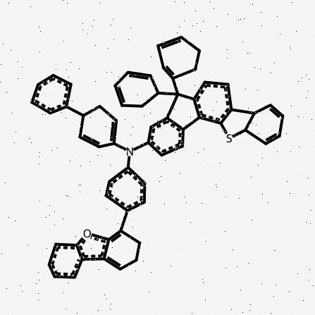 C1=CCCC(C2(C3C=CC=CC3)c3cc(N(C4=CCC(c5ccccc5)C=C4)c4ccc(C5=c6oc7ccccc7c6=CCC5)cc4)ccc3-c3c2ccc2c3SC3C=CC=CC23)=C1